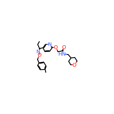 CCC(=NOCc1ccc(C)cc1)c1ccc(OCC(=O)NCC2CCOCC2)nc1